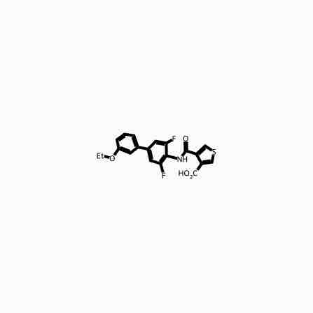 CCOc1cccc(-c2cc(F)c(NC(=O)c3cscc3C(=O)O)c(F)c2)c1